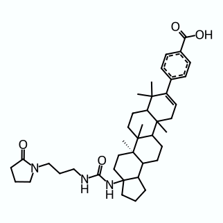 CC1(C)C(c2ccc(C(=O)O)cc2)=CCC2(C)C1CCC1(C)C2CCC2C3CCCC3(NC(=O)NCCCN3CCCC3=O)CC[C@]21C